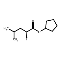 CC(C)C[C@H](I)C(=O)OC1CCCC1